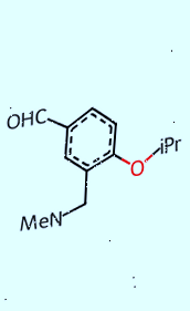 CNCc1cc(C=O)ccc1OC(C)C